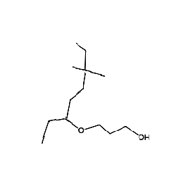 CCC(CCC(C)(C)CC)OCCCO